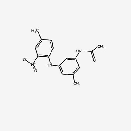 CC(=O)Nc1cc(C)cc(Nc2ccc(C)cc2[N+](=O)[O-])c1